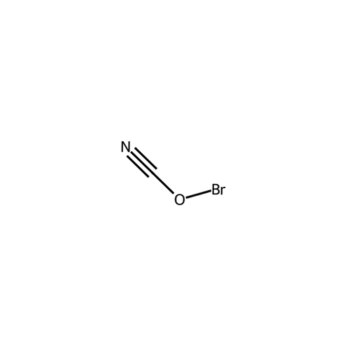 N#COBr